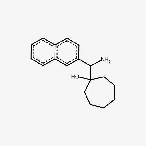 NC(c1ccc2ccccc2c1)C1(O)CCCCCC1